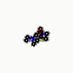 c1ccc(-c2nc(-c3ccc(-c4ccc5ccccc5c4)cc3)nc(-c3cccc4ccccc34)n2)c(-c2ccc(-c3cc4c5ccccc5n5c6ccccc6c6cccc7sc3c(c76)c45)cc2)c1